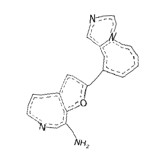 Nc1nccc2cc(-c3cccn4cncc34)oc12